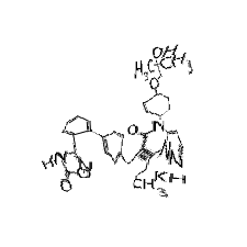 CCCc1c(Cc2ccc(-c3ccccc3-c3noc(=O)[nH]3)cc2)c(=O)n([C@H]2CC[C@H](OCC(C)(C)O)CC2)c2ccnn12.[KH]